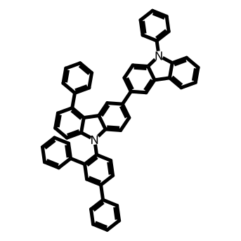 c1ccc(-c2ccc(-n3c4ccc(-c5ccc6c(c5)c5ccccc5n6-c5ccccc5)cc4c4c(-c5ccccc5)cccc43)c(-c3ccccc3)c2)cc1